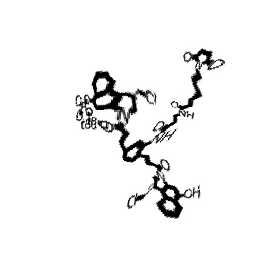 CC(C)(C)OP(=O)(Oc1cc2c(c3ccccc13)[C@H](CCl)CN2C(=O)C=Cc1ccc(C=CC(=O)N2C[C@@H](CCl)c3c2cc(O)c2ccccc32)c(NC(=O)CCNC(=O)CCCCCN2C(=O)C=CC2=O)c1)OC(C)(C)C